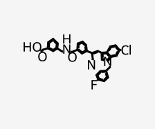 N#C/C(=C\c1cn(Cc2ccc(F)cc2)c2cc(Cl)ccc12)c1cccc(C(=O)NCc2cccc(C(=O)O)c2)c1